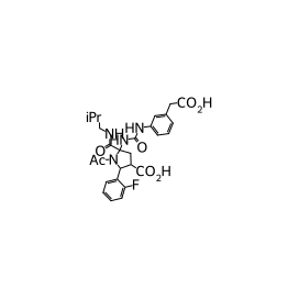 CC(=O)N1C(c2ccccc2F)C(C(=O)O)CC1(NC(=O)Nc1cccc(CC(=O)O)c1)C(=O)NCC(C)C